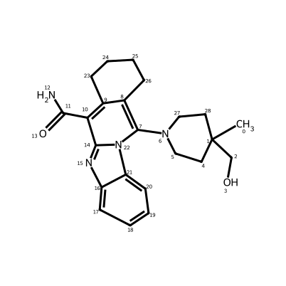 CC1(CO)CCN(c2c3c(c(C(N)=O)c4nc5ccccc5n24)CCCC3)CC1